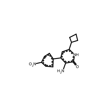 Nc1c(-c2ccc([N+](=O)[O-])cc2)cc(C2CCC2)[nH]c1=O